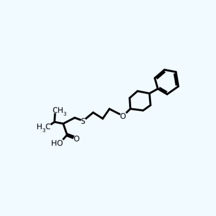 CC(C)C(CSCCCOC1CCC(c2ccccc2)CC1)C(=O)O